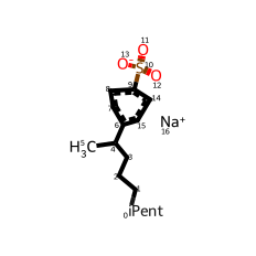 CCCC(C)CCCC(C)c1ccc(S(=O)(=O)[O-])cc1.[Na+]